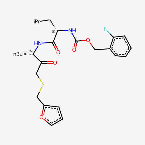 CCCC[C@H](NC(=O)[C@H](CC(C)C)NC(=O)OCc1ccccc1F)C(=O)CSCc1ccco1